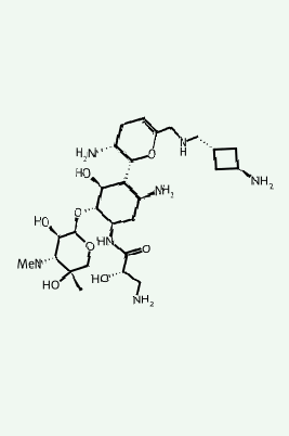 CN[C@@H]1[C@@H](O)[C@@H](O[C@H]2[C@H](NC(=O)[C@@H](O)CN)C[C@H](N)C([C@H]3OC(CNC[C@H]4C[C@H](N)C4)=CC[C@H]3N)[C@@H]2O)OC[C@]1(C)O